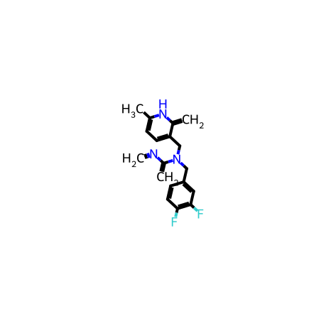 C=NC(=C)N(CC1=CC=C(C)NC1=C)Cc1ccc(F)c(F)c1